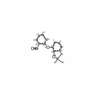 CC1(C)Cc2cccc(Oc3ncccc3N=O)c2O1